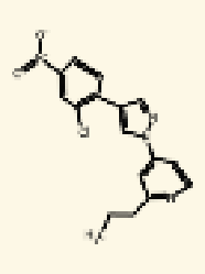 CCCc1cc(-n2cc(-c3ccc([N+](=O)[O-])cc3Cl)cn2)ccn1